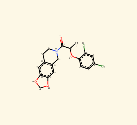 CCC(Oc1ccc(Cl)cc1Cl)C(=O)N1CCc2cc3c(cc2C1)OCO3